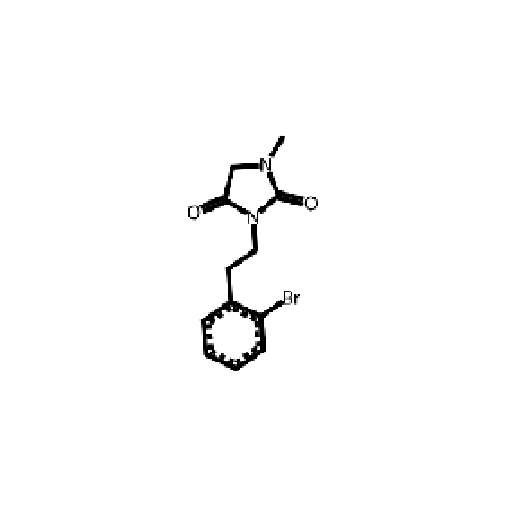 CN1CC(=O)N(CCc2ccccc2Br)C1=O